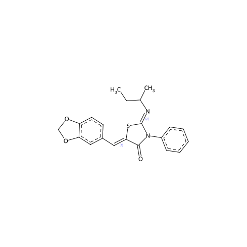 CCC(C)/N=C1\S/C(=C\c2ccc3c(c2)OCO3)C(=O)N1c1ccccc1